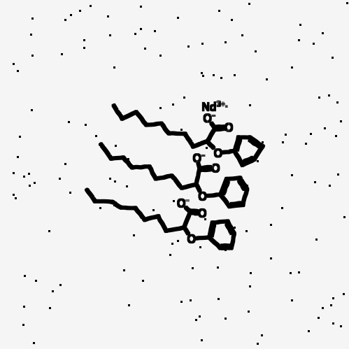 CCCCCCCCC(Oc1ccccc1)C(=O)[O-].CCCCCCCCC(Oc1ccccc1)C(=O)[O-].CCCCCCCCC(Oc1ccccc1)C(=O)[O-].[Nd+3]